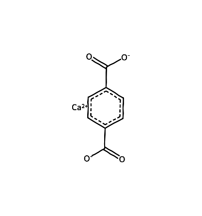 O=C([O-])c1ccc(C(=O)[O-])cc1.[Ca+2]